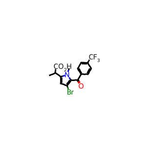 CC(C(=O)O)c1cc(Br)c(C(=O)c2ccc(C(F)(F)F)cc2)n1C